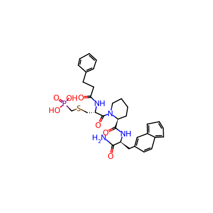 NC(=O)[C@H](Cc1ccc2ccccc2c1)NC(=O)[C@@H]1CCCCN1C(=O)[C@H](CSCP(=O)(O)O)NC(=O)CCc1ccccc1